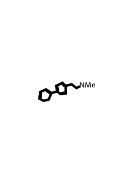 CNCCc1ccc(C2=CC=CCC2)cc1